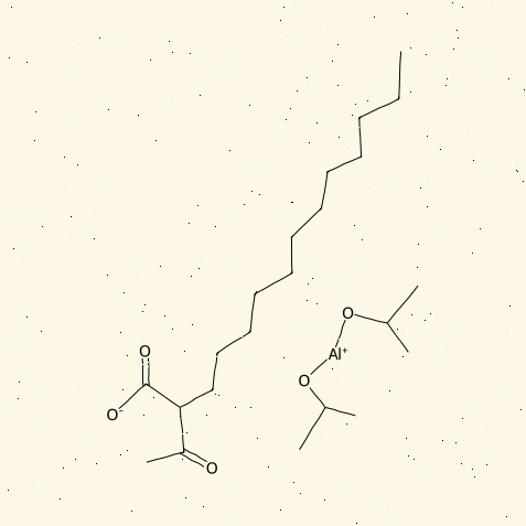 CC(C)[O][Al+][O]C(C)C.CCCCCCCCCCCCC(C(C)=O)C(=O)[O-]